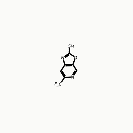 FC(F)(F)c1cc2nc(S)oc2cn1